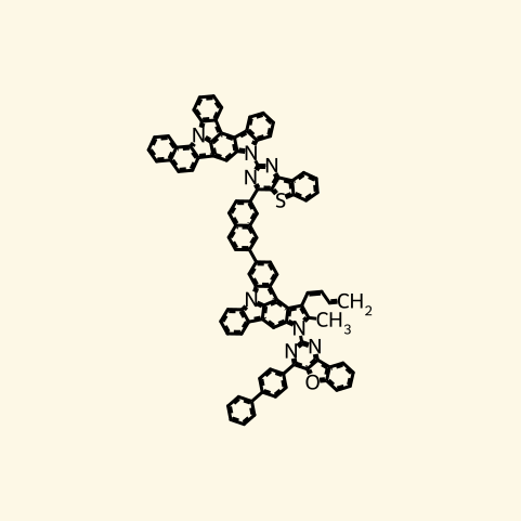 C=C/C=C\c1c(C)n(-c2nc(-c3ccc(-c4ccccc4)cc3)c3oc4ccccc4c3n2)c2cc3c4ccccc4n4c5cc(-c6ccc7ccc(-c8nc(-n9c%10ccccc%10c%10c%11c%12ccccc%12n%12c%13c%14ccccc%14ccc%13c(cc%109)c%11%12)nc9c8sc8ccccc89)cc7c6)ccc5c(c12)c34